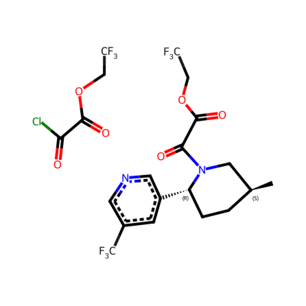 C[C@H]1CC[C@H](c2cncc(C(F)(F)F)c2)N(C(=O)C(=O)OCC(F)(F)F)C1.O=C(Cl)C(=O)OCC(F)(F)F